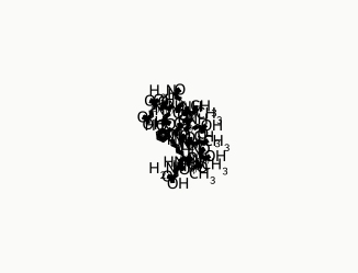 CC[C@H](C)[C@H](NC(=O)[C@@H](NC(=O)[C@H](C)NC(=O)[C@H](CCCCN)NC(=O)[C@@H](N)CC(=O)O)[C@@H](C)O)C(=O)NCC(=O)N[C@@H](Cc1ccccc1)C(=O)N[C@@H](CCC(=O)O)C(=O)N[C@H](C(=O)N[C@@H](CCC(N)=O)C(=O)N[C@@H](CCC(=O)O)C(=O)N[C@@H](CCC(=O)O)C(=O)O)C(C)C